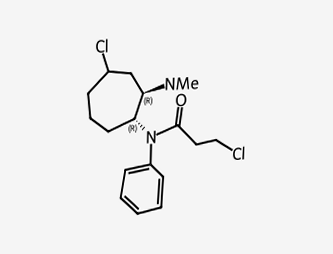 CN[C@@H]1CC(Cl)CCC[C@H]1N(C(=O)CCCl)c1ccccc1